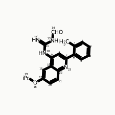 Cc1ccccc1-c1cc(NC(=N)NC=O)c2cc(OC(C)C)ccc2n1